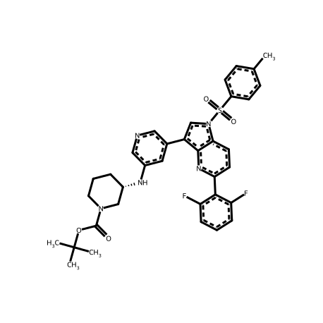 Cc1ccc(S(=O)(=O)n2cc(-c3cncc(N[C@H]4CCCN(C(=O)OC(C)(C)C)C4)c3)c3nc(-c4c(F)cccc4F)ccc32)cc1